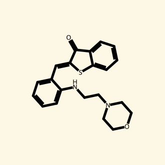 O=C1C(=Cc2ccccc2NCCN2CCOCC2)Sc2ccccc21